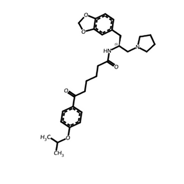 CC(C)Oc1ccc(C(=O)CCCCC(=O)N[C@@H](Cc2ccc3c(c2)OCO3)CN2CCCC2)cc1